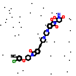 N#Cc1ccc(O[C@H]2CC[C@H](N3Cc4ccc(C#CC5CCN(C6CCN(c7ccc8c(c7)C(=O)N(C7CCC(=O)NC7=O)C8=O)CC6)CC5)cc4C3=O)CC2)cc1Cl